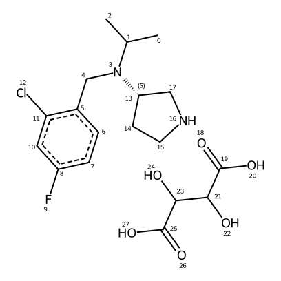 CC(C)N(Cc1ccc(F)cc1Cl)[C@H]1CCNC1.O=C(O)C(O)C(O)C(=O)O